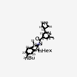 CCCCCCn1/c(=N/C(=O)c2cc(C)nc(C3=CCN=C3)c2)n(C)c2ccc(CCCC)cc21